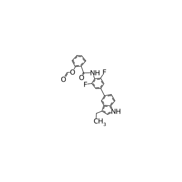 CCc1c[nH]c2ccc(-c3cc(F)c(NC(=O)c4ccccc4OC=O)c(F)c3)cc12